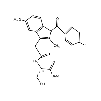 COC(=O)[C@H](CO)NC(=O)Cc1c(C)n(C(=O)c2ccc(Cl)cc2)c2ccc(OC)cc12